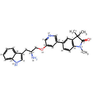 CN1C(=O)C(C)(C)c2cc(-c3cncc(OC[C@@H](N)Cc4c[nH]c5ccccc45)c3)ccc21